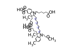 COCCN1/C(=C/C=C/C=C/C=C/C2=[N+](CCCCCC(=O)O)c3ccc(S(=O)(=O)O)cc3C2(C)CCOC)C(C)(CCCS(=O)(=O)O)c2cc(C)ccc21